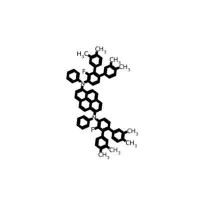 Cc1ccc(-c2ccc(N(c3ccccc3)c3ccc4ccc5c(N(c6ccccc6)c6ccc(-c7ccc(C)c(C)c7)c(-c7ccc(C)c(C)c7)c6F)ccc6ccc3c4c65)c(F)c2-c2ccc(C)c(C)c2)cc1C